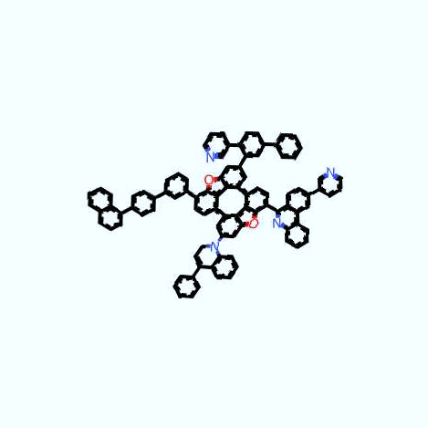 C1=C(c2ccccc2)c2ccccc2N(c2cc3oc4c(-c5nc6ccccc6c6cc(-c7cccnc7)ccc56)ccc5c6cc(-c7cc(-c8ccccc8)ccc7-c7cccnc7)cc7oc8c(-c9cccc(-c%10ccc(-c%11cccc%12ccccc%11%12)cc%10)c9)ccc(c(c2)c3c45)c8c76)C1